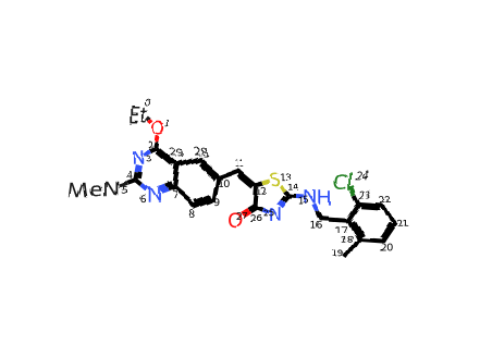 CCOc1nc(NC)nc2ccc(C=C3SC(NCc4c(C)cccc4Cl)=NC3=O)cc12